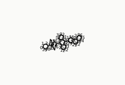 c1ccc(-c2ncc(-c3c4ccccc4c(-c4ccc5c(ccc6ccccc65)c4)c4ccccc34)cn2)cc1